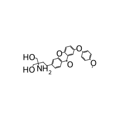 COc1ccc(Oc2ccc3oc4cc(CCC(N)(CO)CO)ccc4c(=O)c3c2)cc1